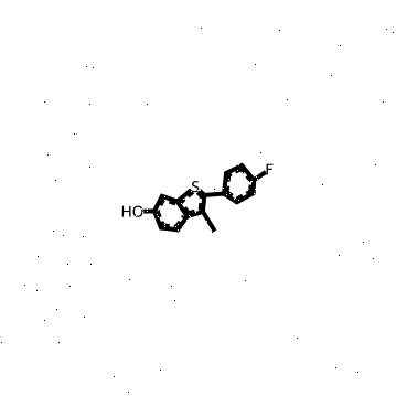 Cc1c(-c2ccc(F)cc2)sc2cc(O)ccc12